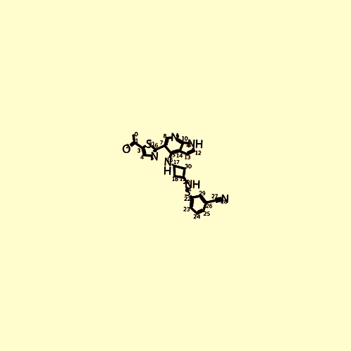 CC(=O)c1cnc(-c2cnc3[nH]ccc3c2N[C@H]2C[C@H](NSc3cccc(C#N)c3)C2)s1